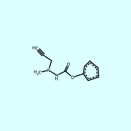 C#CCN(C)NC(=O)Oc1ccccc1